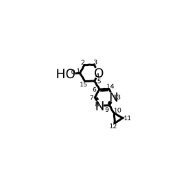 OC1CCOC(c2cnc(C3CC3)nc2)C1